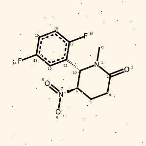 CN1C(=O)CC[C@@H]([N+](=O)[O-])[C@@H]1c1cc(F)ccc1F